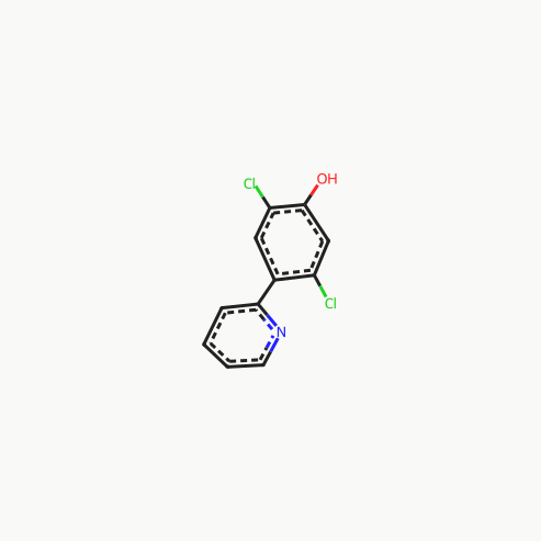 Oc1cc(Cl)c(-c2ccccn2)cc1Cl